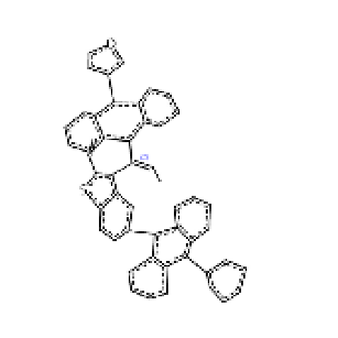 C=Cc1sc2ccc(-c3c4ccccc4c(-c4ccccc4)c4ccccc34)cc2c1/C(=C\C)c1c2ccccc2c(-c2ccoc2)c2ccccc12